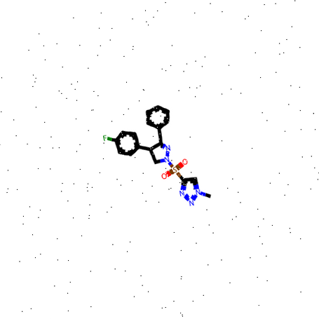 Cn1cc(S(=O)(=O)N2CC(c3ccc(F)cc3)C(c3ccccc3)=N2)nn1